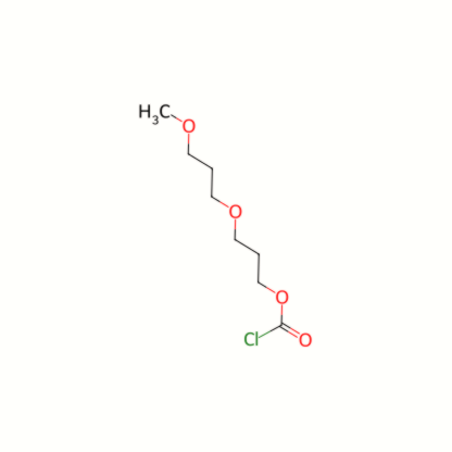 COCCCOCCCOC(=O)Cl